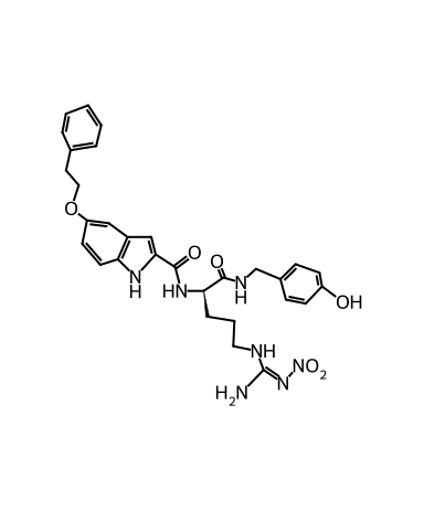 N/C(=N/[N+](=O)[O-])NCCC[C@@H](NC(=O)c1cc2cc(OCCc3ccccc3)ccc2[nH]1)C(=O)NCc1ccc(O)cc1